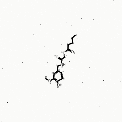 CCCCC(=O)OCC(=O)NCc1ccc(O)c(OC)c1